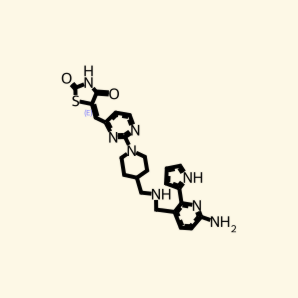 Nc1ccc(CNCC2CCN(c3nccc(/C=C4/SC(=O)NC4=O)n3)CC2)c(-c2ccc[nH]2)n1